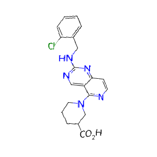 O=C(O)C1CCCN(c2nccc3nc(NCc4ccccc4Cl)ncc23)C1